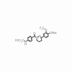 CCOC(=O)Nc1ccc(C(=O)N2CCCC(c3ccc(OC)c(OC(F)(F)F)c3)=N2)cc1